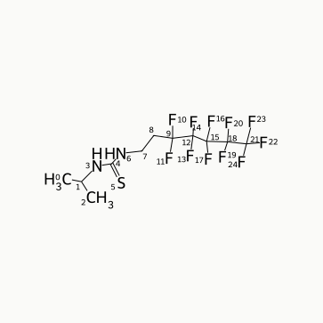 CC(C)NC(=S)NCCC(F)(F)C(F)(F)C(F)(F)C(F)(F)C(F)(F)F